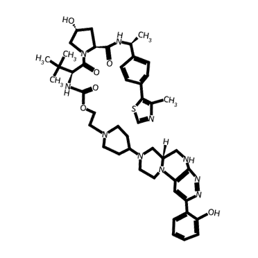 Cc1ncsc1-c1ccc([C@H](C)NC(=O)[C@@H]2C[C@@H](O)CN2C(=O)[C@@H](NC(=O)OCCN2CCC(N3CCN4c5cc(-c6ccccc6O)nnc5NC[C@H]4C3)CC2)C(C)(C)C)cc1